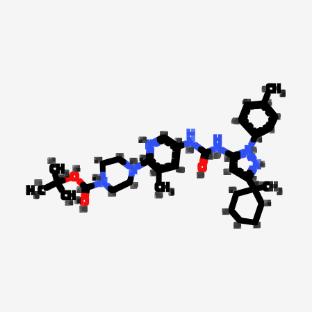 Cc1ccc(-n2nc(C3(C)CCCCC3)cc2NC(=O)Nc2cnc(N3CCN(C(=O)OC(C)(C)C)CC3)c(C)c2)cc1